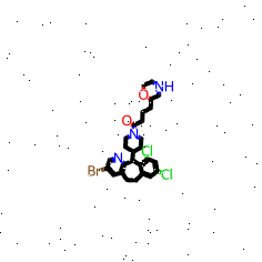 O=C(CCCC1CNCCO1)N1CCC(C2c3ncc(Br)cc3CCc3cc(Cl)cc(Cl)c32)CC1